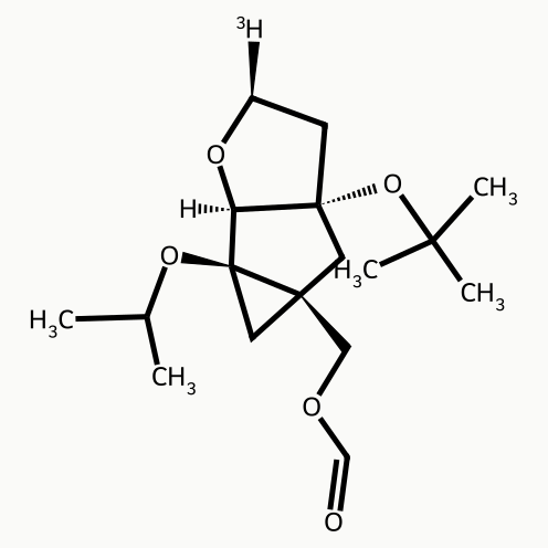 [3H][C@H]1C[C@@]2(OC(C)(C)C)C[C@]3(COC=O)C[C@]3(OC(C)C)[C@H]2O1